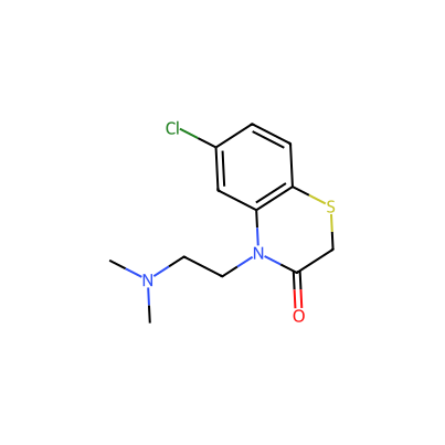 CN(C)CCN1C(=O)CSc2ccc(Cl)cc21